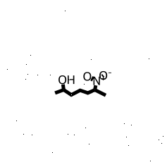 CC(O)CCCC(C)[N+](=O)[O-]